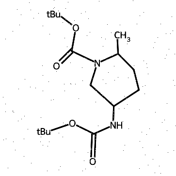 CC1CCC(NC(=O)OC(C)(C)C)CN1C(=O)OC(C)(C)C